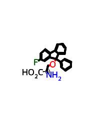 N[C@@H](COC1(c2ccccc2)c2ccccc2-c2ccc(F)cc21)C(=O)O